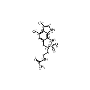 CC(=O)NCCN1Cc2cc(Cl)c3c(Cl)c[nH]c3c2NS1(=O)=O